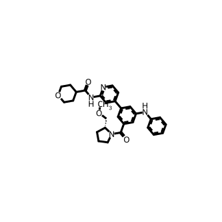 COC[C@H]1CCCN1C(=O)c1cc(Nc2ccccc2)cc(-c2ccnc(NC(=O)C3CCOCC3)c2)c1